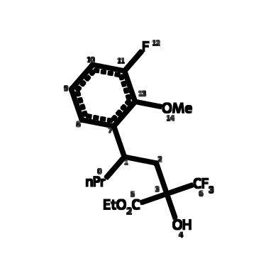 CCCC(CC(O)(C(=O)OCC)C(F)(F)F)c1cccc(F)c1OC